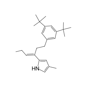 CC/C=C(\CCc1cc(C(C)(C)C)cc(C(C)(C)C)c1)c1cc(C)c[nH]1